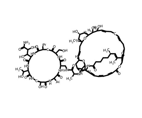 CC(=O)C1NC(=O)C(O)CNC(=O)C(C(C)O)NC(=O)C(C(O)C(O)C(N)=O)NC(=O)C(C(C)C)CC(=O)C(CO)NC(=O)C(CNC(=O)C(C)NCCNC(=O)CCCC[C@@H](C)/C=C(\C)C2OC3C=CC2OC(=O)\C=C/C=C\C=C\[C@H]2OC4CC2O[C@@H](/C=C/C[C@H]2O[C@H](C[C@H](O)[C@H]2C)[C@@H](O)[C@@H](O)/C=C/CC/C=C/C3)C4)NC1=O